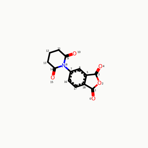 O=C1OC(=O)c2cc(N3C(=O)CCCC3=O)ccc21